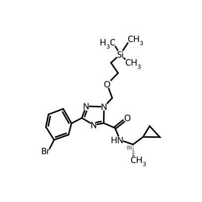 C[C@H](NC(=O)c1nc(-c2cccc(Br)c2)nn1COCC[Si](C)(C)C)C1CC1